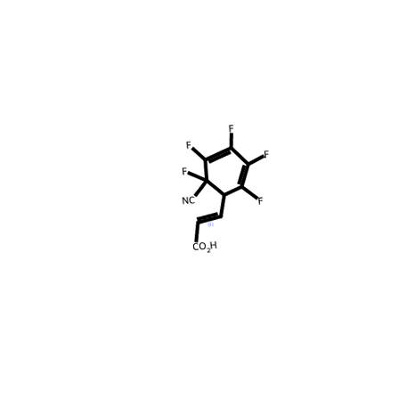 N#CC1(F)C(F)=C(F)C(F)=C(F)C1/C=C/C(=O)O